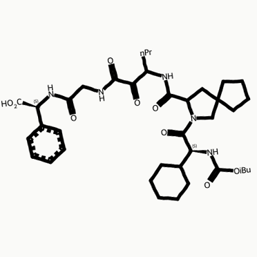 CCCC(NC(=O)C1CC2(CCCC2)CN1C(=O)[C@@H](NC(=O)OCC(C)C)C1CCCCC1)C(=O)C(=O)NCC(=O)N[C@H](C(=O)O)c1ccccc1